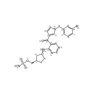 NS(=O)(=O)OC[C@@H]1CC[C@H](Nc2ncncc2C(=O)c2ccn(Cc3cccc(Br)c3)c2)C1